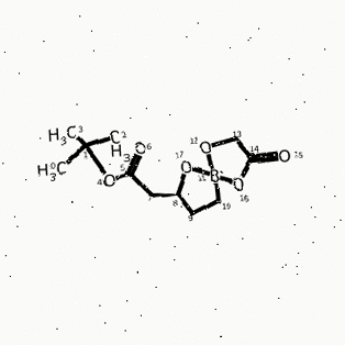 CC(C)(C)OC(=O)C[C@@H]1CC[B-]2(OCC(=O)O2)O1